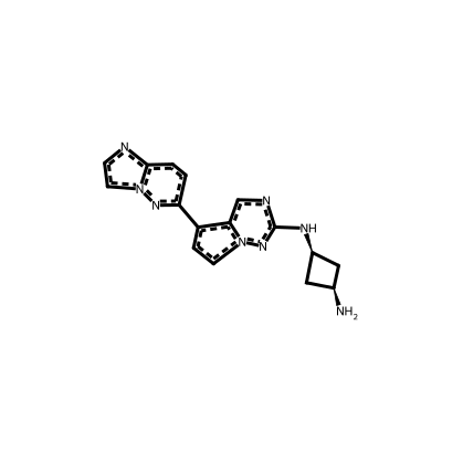 N[C@H]1C[C@@H](Nc2ncc3c(-c4ccc5nccn5n4)ccn3n2)C1